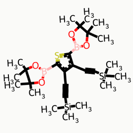 CC1(C)OB(c2sc(B3OC(C)(C)C(C)(C)O3)c(C#C[Si](C)(C)C)c2C#C[Si](C)(C)C)OC1(C)C